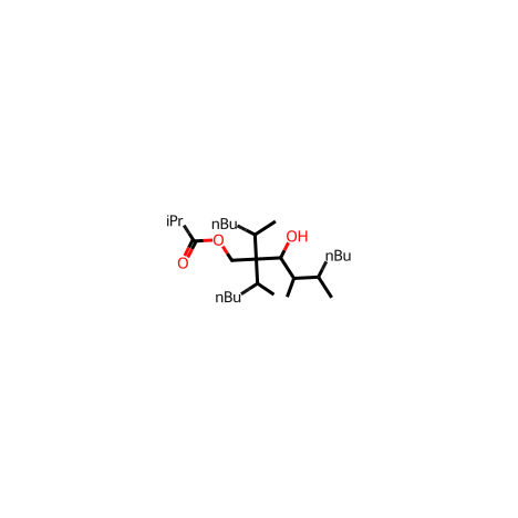 CCCCC(C)C(C)C(O)C(COC(=O)C(C)C)(C(C)CCCC)C(C)CCCC